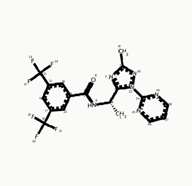 Cc1nc([C@H](C)NC(=O)c2cc(C(F)(F)F)cc(C(F)(F)F)c2)n(-c2ncccn2)n1